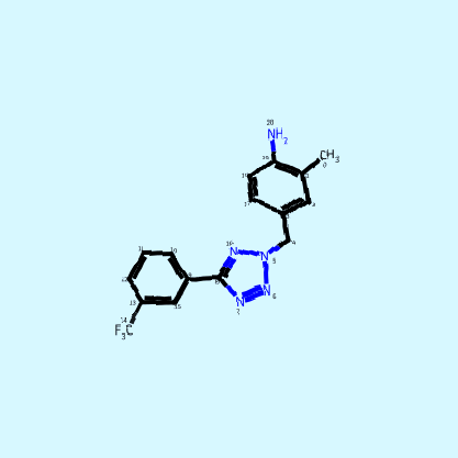 Cc1cc(Cn2nnc(-c3cccc(C(F)(F)F)c3)n2)ccc1N